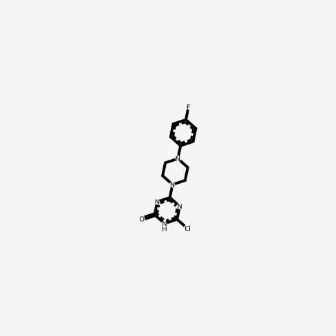 O=c1nc(N2CCN(c3ccc(F)cc3)CC2)nc(Cl)[nH]1